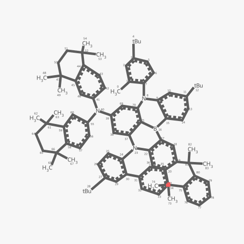 Cc1cc(C(C)(C)C)ccc1N1c2cc(C(C)(C)C)ccc2B2c3cc4c(cc3N(c3ccc(C(C)(C)C)cc3-c3ccccc3)c3cc(N(c5ccc6c(c5)C(C)(C)CCC6(C)C)c5ccc6c(c5)C(C)(C)CCC6(C)C)cc1c32)C(C)(C)c1ccccc1C4(C)C